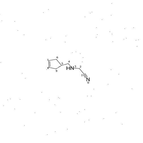 N#CCNCC1CC=CC1